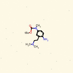 CN(C)CCc1cc(N(C)C(=O)OC(C)(C)C)ccc1N